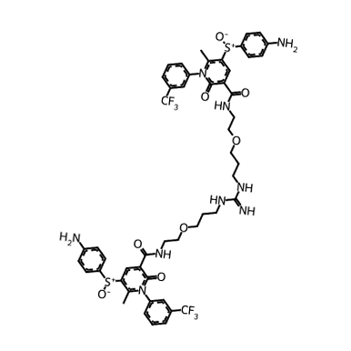 Cc1c([S+]([O-])c2ccc(N)cc2)cc(C(=O)NCCOCCCNC(=N)NCCCOCCNC(=O)c2cc([S+]([O-])c3ccc(N)cc3)c(C)n(-c3cccc(C(F)(F)F)c3)c2=O)c(=O)n1-c1cccc(C(F)(F)F)c1